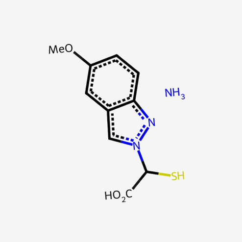 COc1ccc2nn(C(S)C(=O)O)cc2c1.N